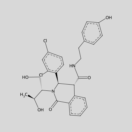 C[C@H](O)[C@H](CO)N1C(=O)c2ccccc2[C@@H](C(=O)NCCc2ccc(O)cc2)[C@@H]1c1ccc(Cl)cc1Cl